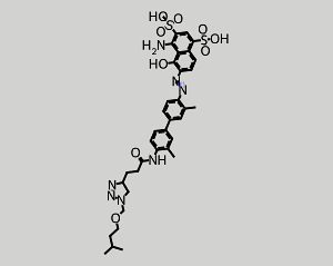 Cc1cc(-c2ccc(NC(=O)CCC3CN(COCCC(C)C)N=N3)c(C)c2)ccc1/N=N/c1ccc2c(S(=O)(=O)O)cc(S(=O)(=O)O)c(N)c2c1O